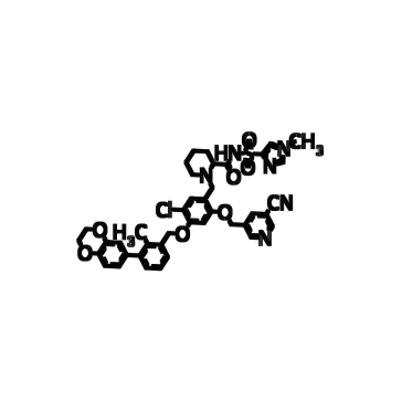 Cc1c(COc2cc(OCc3cncc(C#N)c3)c(CN3CCCCC3C(=O)NS(=O)(=O)c3cn(C)cn3)cc2Cl)cccc1-c1ccc2c(c1)OCCO2